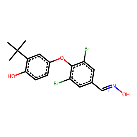 CC(C)(C)c1cc(Oc2c(Br)cc(/C=N/O)cc2Br)ccc1O